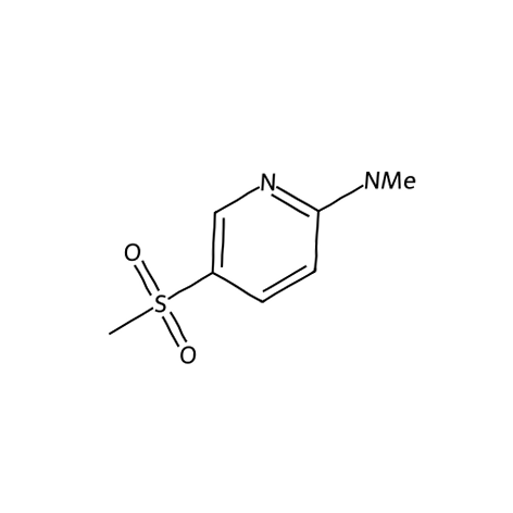 CNc1ccc(S(C)(=O)=O)cn1